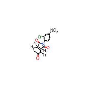 O=C1C[C@H]2CC[C@@H]1[C@H]1C(=O)N(c3ccc([N+](=O)[O-])cc3Cl)C(=O)[C@@H]21